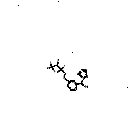 N=C(c1cc(OCC(F)(F)C(F)C(F)(F)F)ncn1)n1cncn1